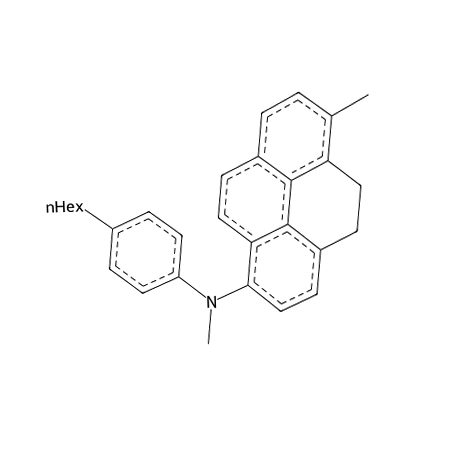 CCCCCCc1ccc(N(C)c2ccc3c4c2ccc2ccc(C)c(c24)CC3)cc1